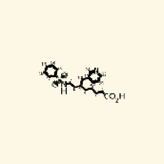 O=C(O)CCCCC(CCNS(=O)(=O)c1ccccc1)Cc1cccnc1